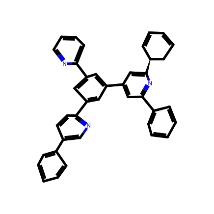 C1=CC[C@@H](c2cc(-c3cc(-c4ccccn4)cc(-c4ccc(-c5ccccc5)cn4)c3)cc(-c3ccccc3)n2)C=C1